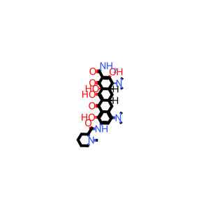 CN(C)c1cc(NC(=O)C2CCCCN2C)c(O)c2c1C[C@H]1C[C@H]3[C@H](N(C)C)C(O)=C(C(N)=O)C(=O)[C@@]3(O)C(O)=C1C2=O